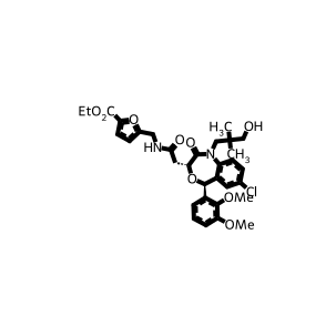 CCOC(=O)c1ccc(CNC(=O)C[C@H]2O[C@H](c3cccc(OC)c3OC)c3cc(Cl)ccc3N(CC(C)(C)CO)C2=O)o1